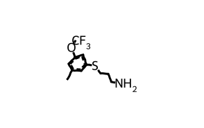 Cc1cc(OC(F)(F)F)cc(SCCCN)c1